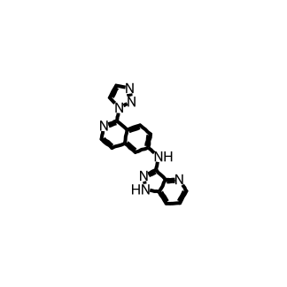 c1cnc2c(Nc3ccc4c(-n5ccnn5)nccc4c3)n[nH]c2c1